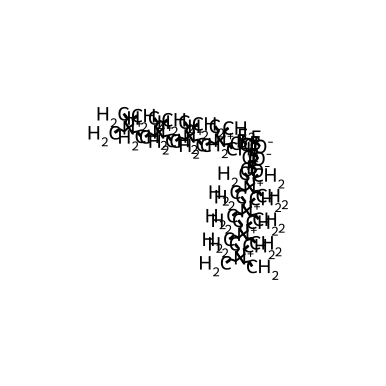 C=CC[N+](CC=C)(CC=C)CC=C.C=CC[N+](CC=C)(CC=C)CC=C.C=CC[N+](CC=C)(CC=C)CC=C.C=CC[N+](CC=C)(CC=C)CC=C.C=CC[N+](CC=C)(CC=C)CC=C.C=CC[N+](CC=C)(CC=C)CC=C.C=CC[N+](CC=C)(CC=C)CC=C.C=CC[N+](CC=C)(CC=C)CC=C.[O-]B([O-])F.[O-]B([O-])F.[O-]B([O-])F.[O-]B([O-])F